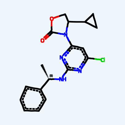 C[C@H](Nc1nc(Cl)cc(N2C(=O)OCC2C2CC2)n1)c1ccccc1